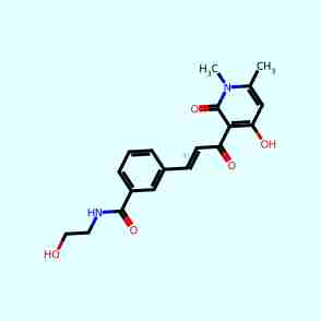 Cc1cc(O)c(C(=O)/C=C/c2cccc(C(=O)NCCO)c2)c(=O)n1C